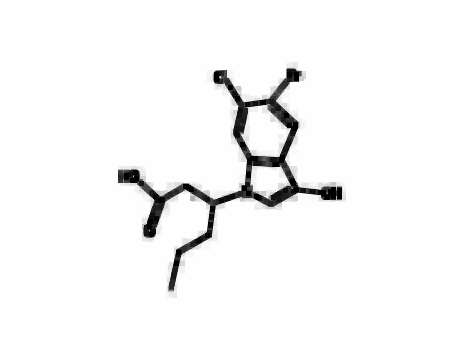 CCCC(CC(=O)O)n1cc(O)c2cc(Br)c(Cl)cc21